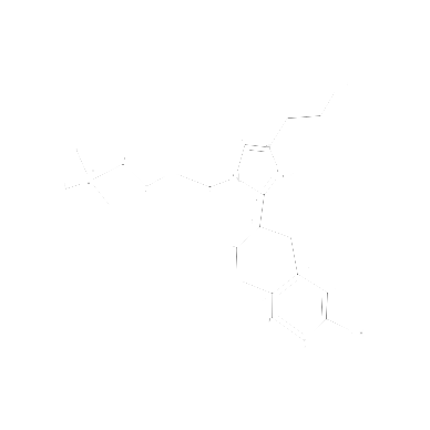 CC(C)(C)CCc1cn(COCC[Si](C)(C)C)c(C2COc3ccc(O)cc3C2)n1